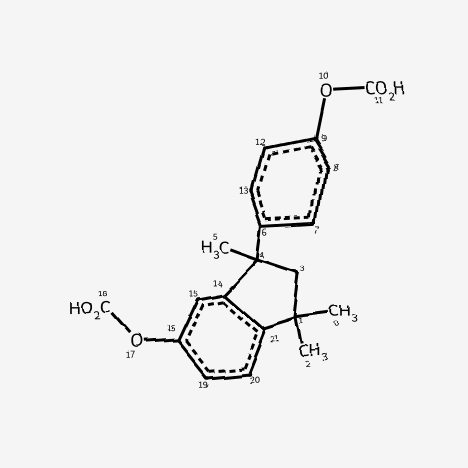 CC1(C)CC(C)(c2ccc(OC(=O)O)cc2)c2cc(OC(=O)O)ccc21